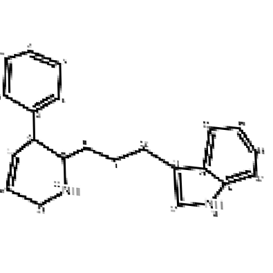 C1=CC(c2ccccc2)C(CCCc2c[nH]c3ccccc23)NC1